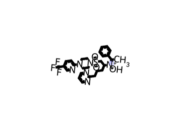 C/C(c1ccccc1)=[N+](\O)C(CCCc1ncccn1)CS(=O)(=O)N1CCN(c2ccc(C(F)(F)F)cn2)CC1